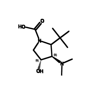 CN(C)[C@@H]1C(C(C)(C)C)N(C(=O)O)C[C@H]1O